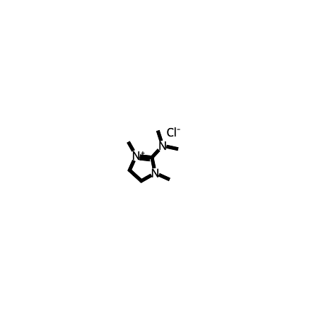 CN(C)C1=[N+](C)CCN1C.[Cl-]